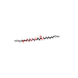 CCCCCCCCCCCCCCCCCCOC(=O)CCCOCCOCCOCCOCCCCCCC